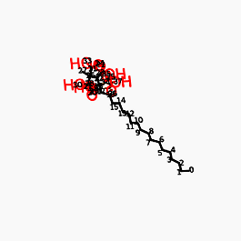 CCCCCCCCCCCCCCCCCCC(C(=O)O)(C(C(=O)O)C(C)(C(=O)O)C(=O)O)S(=O)(=O)O